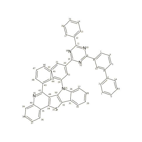 c1ccc(-c2cccc(-c3nc(-c4ccccc4)nc(-c4cccc(-n5c6ccccc6c6sc7c8ccccc8nc(-c8ccccc8)c7c65)c4)n3)c2)cc1